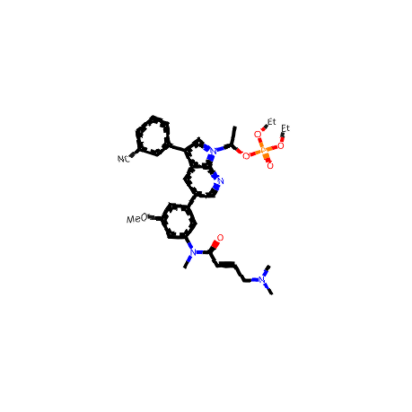 CCOP(=O)(OCC)OC(C)n1cc(-c2cccc(C#N)c2)c2cc(-c3cc(OC)cc(N(C)C(=O)/C=C/CN(C)C)c3)cnc21